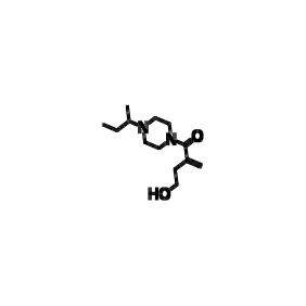 C=C(CCO)C(=O)N1CCN(C(C)CC)CC1